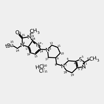 Cc1nc2c(s1)CN(CC1CCCN(C3=CC=c4c(n(C)c(=O)n4CC(C)(C)C)=[N+]3)C1)CC2.Cl.[Cl-]